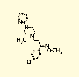 CO/N=C(/CCN1CCN(c2ccccn2)C[C@@H]1C)c1ccc(Cl)cc1